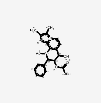 CC(=O)N1c2c(ccn3c(C)c(C)nc23)C(O)C(OC(=O)C(C)(C)C)C1c1ccccc1